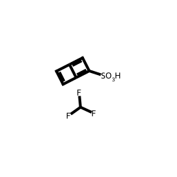 FC(F)F.O=S(=O)(O)c1cc2ccc1-2